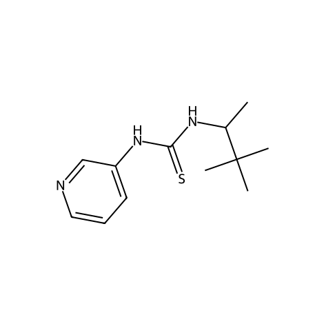 CC(NC(=S)Nc1cccnc1)C(C)(C)C